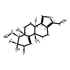 CC(C)[C@]1(O)[C@H](Cl)C=C2[C@@]3(C)CCc4c(coc4CO)[C@@H]3CC[C@@]2(O)[C@@H]1OC(C)(C)C